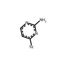 [2H]c1ccnc(N)n1